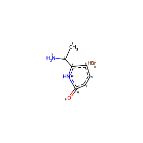 Br.CC(N)c1cccc(=O)[nH]1